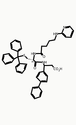 O=C(O)CC(NC(=O)[C@H](CSC(c1ccccc1)(c1ccccc1)c1ccccc1)NC(=O)CCCCNc1ccccn1)c1ccc(-c2ccccc2)cc1